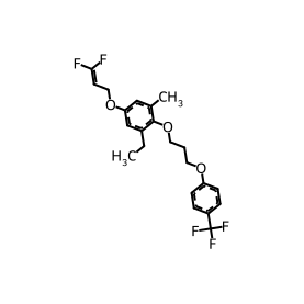 CCc1cc(OCC=C(F)F)cc(C)c1OCCCOc1ccc(C(F)(F)F)cc1